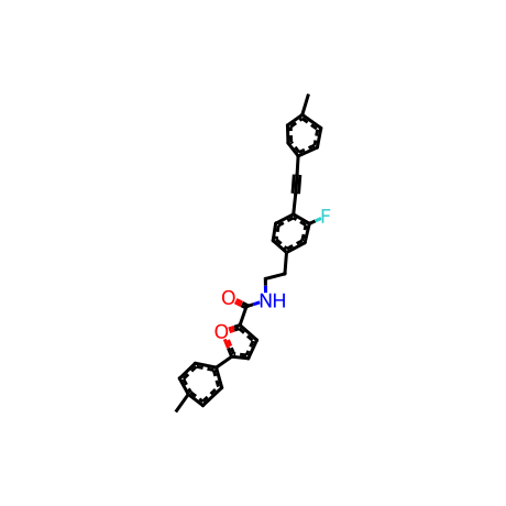 Cc1ccc(C#Cc2ccc(CCNC(=O)c3ccc(-c4ccc(C)cc4)o3)cc2F)cc1